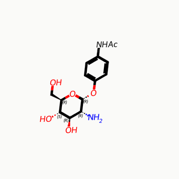 CC(=O)Nc1ccc(O[C@H]2O[C@H](CO)[C@@H](O)[C@H](O)[C@H]2N)cc1